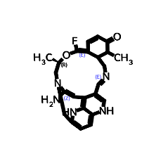 CC1C(=O)C=C/C2=C(\F)O[C@H](C)CN3CC4=CC=C5NC=C(/C=N/CC21)C(=C5N4)/C=C\3N